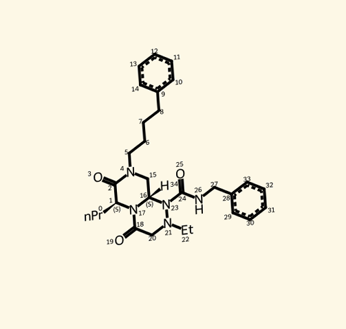 CCC[C@H]1C(=O)N(CCCCc2ccccc2)C[C@H]2N1C(=O)CN(CC)N2C(=O)NCc1ccccc1